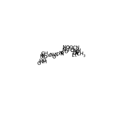 CCN(C)S(=O)(=O)Nc1ccc(F)c(Oc2ccc3ncn(-c4cnn(C5CCN(C(=O)CN6CCC(c7ccc8c(C9CCC(=O)NC9=O)nn(C)c8c7)CC6)CC5)c4)c(=O)c3c2)c1C#N